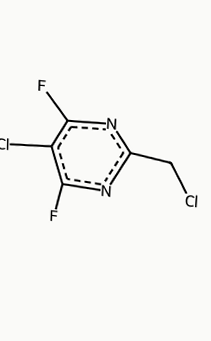 Fc1nc(CCl)nc(F)c1Cl